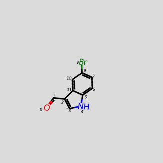 O=Cc1[c][nH]c2ccc(Br)cc12